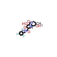 C[C@]1(O)CCN2C[C@H](C1)n1cc(C(=O)NCc3c(F)cc(F)cc3F)c(=O)c(O)c1C2=O